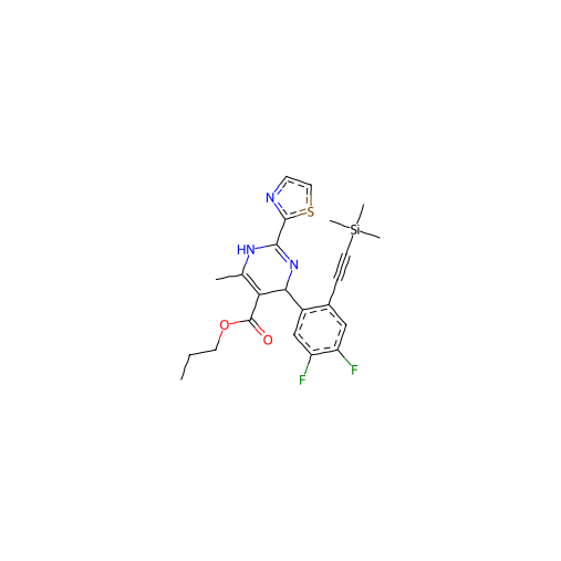 CCCOC(=O)C1=C(C)NC(c2nccs2)=NC1c1cc(F)c(F)cc1C#C[Si](C)(C)C